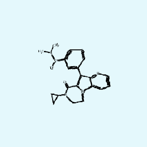 CN(C)[S+]([O-])c1cccc(-c2c3n(c4cccnc24)CCN(C2CC2)C3=O)c1